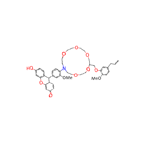 C=CCc1ccc(OC)c(OCC2COCCOCCOCCN(c3ccc(C4c5ccc(O)cc5OC5=CC(=O)C=CC54)cc3OC)CCOCCO2)c1